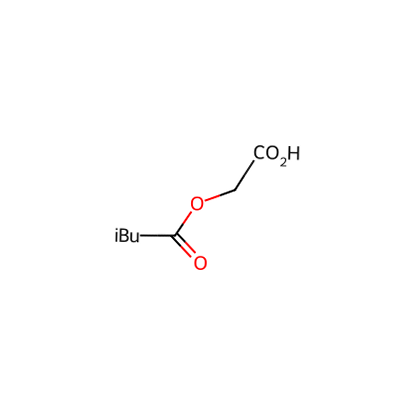 CCC(C)C(=O)OCC(=O)O